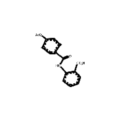 CC(=O)Oc1ccc(C(=O)Nc2ccccc2C(=O)O)cc1